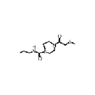 CCCNC(=O)N1CCN(C(=O)CSC)CC1